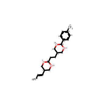 CCC/C=C/C1COC(CCC2COC(c3ccc(C(F)(F)F)cc3)OC2)OC1